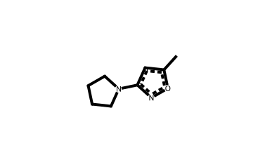 Cc1cc(N2CCCC2)no1